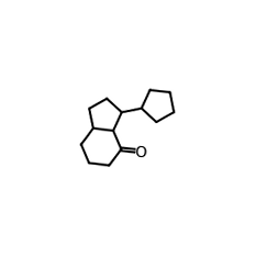 O=C1CCCC2CCC(C3CCCC3)C12